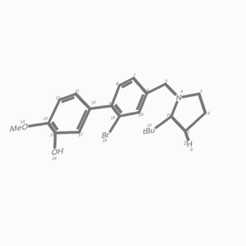 [2H]C1CCN(Cc2ccc(-c3ccc(OC)c(O)c3)c(Br)c2)C1C(C)(C)C